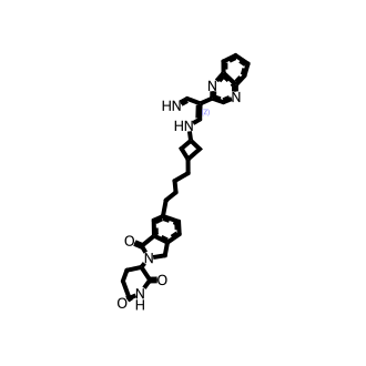 N=C/C(=C\NC1CC(CCCCc2ccc3c(c2)C(=O)N(C2CCC(=O)NC2=O)C3)C1)c1cnc2ccccc2n1